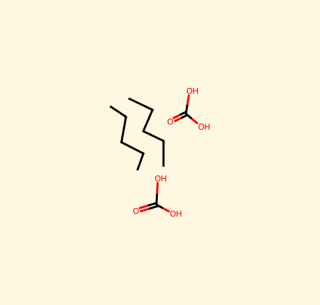 CCCCC.CCCCC.O=C(O)O.O=C(O)O